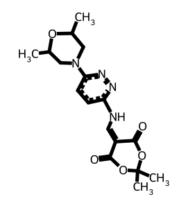 CC1CN(c2ccc(NC=C3C(=O)OC(C)(C)OC3=O)nn2)CC(C)O1